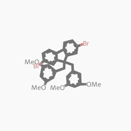 COc1cc(CC2(Cc3cc(OC)cc(OC)c3)c3cc(Br)ccc3-c3ccc(Br)cc32)cc(OC)c1